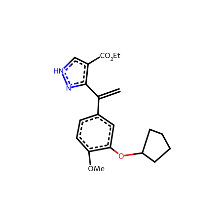 C=C(c1ccc(OC)c(OC2CCCC2)c1)c1n[nH]cc1C(=O)OCC